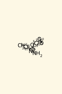 CS(=O)(=O)c1ccc(Oc2sc(N)nc2-c2ccc(Cl)cc2)cc1